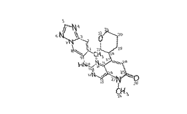 Cc1cc2ncnn2cc1Nc1ncc2c(n1)c(C1CCCOC1)cc(=O)n2C